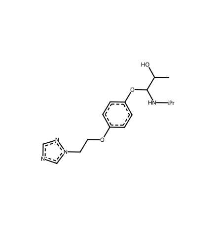 CC(C)NC(Oc1ccc(OCCn2cncn2)cc1)C(C)O